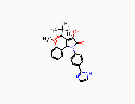 COc1ccccc1C1C(C(=O)C(C)(C)C)=C(O)C(=O)N1c1ccc(-c2ncc[nH]2)cc1